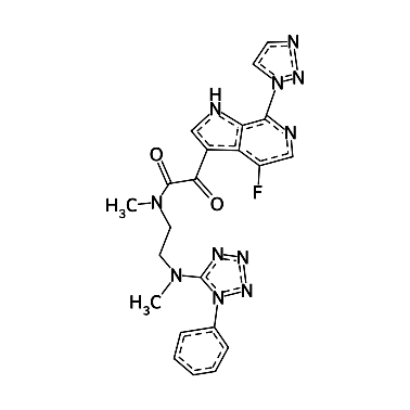 CN(CCN(C)c1nnnn1-c1ccccc1)C(=O)C(=O)c1c[nH]c2c(-n3ccnn3)ncc(F)c12